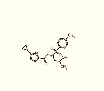 Cc1ccc(S(=O)(=O)N(CC(=O)c2ccn(C3CC3)n2)CC(C)O)cc1